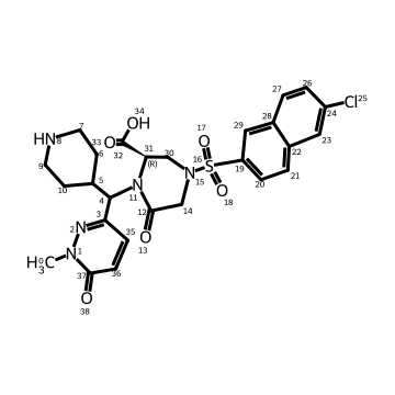 Cn1nc(C(C2CCNCC2)N2C(=O)CN(S(=O)(=O)c3ccc4cc(Cl)ccc4c3)C[C@@H]2C(=O)O)ccc1=O